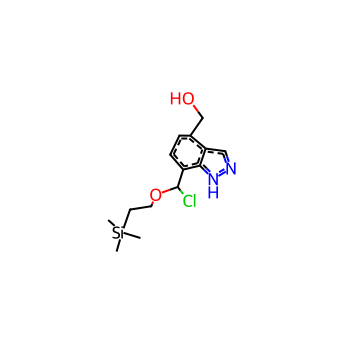 C[Si](C)(C)CCOC(Cl)c1ccc(CO)c2cn[nH]c12